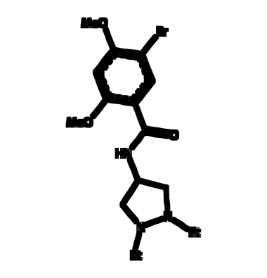 CCN1CC(NC(=O)c2cc(Br)c(OC)cc2OC)CN1CC